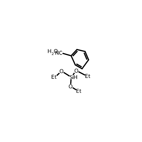 CCO[SiH](OCC)OCC.N#Cc1ccccc1.O